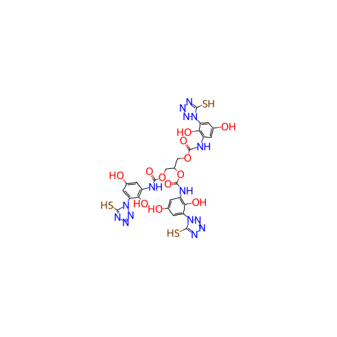 O=C(Nc1cc(O)cc(-n2nnnc2S)c1O)OCC(COC(=O)Nc1cc(O)cc(-n2nnnc2S)c1O)OC(=O)Nc1cc(O)cc(-n2nnnc2S)c1O